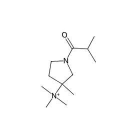 CC(C)C(=O)N1CCC(C)([N+](C)(C)C)C1